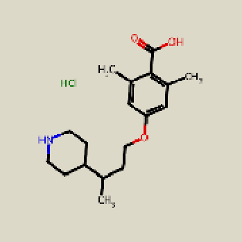 Cc1cc(OCCC(C)C2CCNCC2)cc(C)c1C(=O)O.Cl